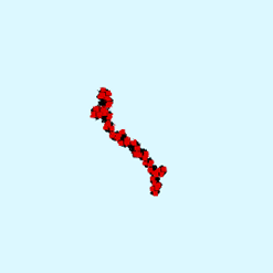 CC1(C)c2cc(-c3ccc(-c4ccc5c(c4)c4ccccc4n5-c4ccc5c(c4)C(C)(C)c4ccccc4-5)cc3)ccc2-c2ccc(-c3ccc4c(c3)C(C)(C)c3cc(-c5ccc(-c6ccc7c(c6)c6ccccc6n7-c6ccc7c(c6)C(C)(C)c6ccccc6-7)cc5)ccc3-4)cc21